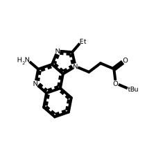 CCc1nc2c(N)nc3ccccc3c2n1CCC(=O)OC(C)(C)C